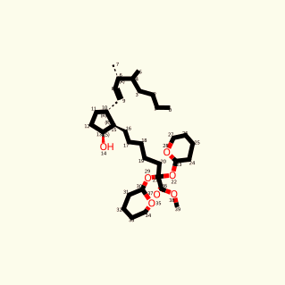 CCCCC(C)[C@@H](C)C=C[C@H]1CC[C@H](O)[C@@H]1CCCCCC(OC1CCCCO1)(OC1CCCCO1)C(=O)OC